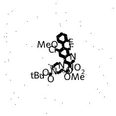 COC(=O)[C@H]1CN(C(=O)OC(C)(C)C)[C@H](C)CN1c1c([N+](=O)[O-])cnc2c(F)c(-c3c(F)cccc3OC)c(Cl)cc12